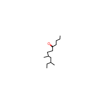 CCCCC(=O)CCC(C)CC(C)CC